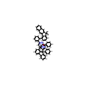 CC1(C)c2cc3ccccc3cc2-c2c(-c3ccccc3/C=C/C(NC(=N)c3ccccc3)c3cccc4c3C(c3ccccc3)(c3ccccc3)c3ccccc3-4)cccc21